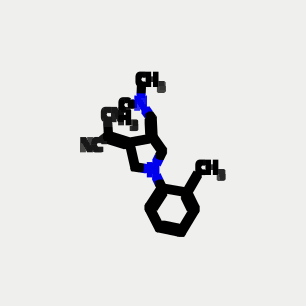 Cc1ccccc1N1CC(=C(C#N)C#N)/C(=C\N(C)C)C1